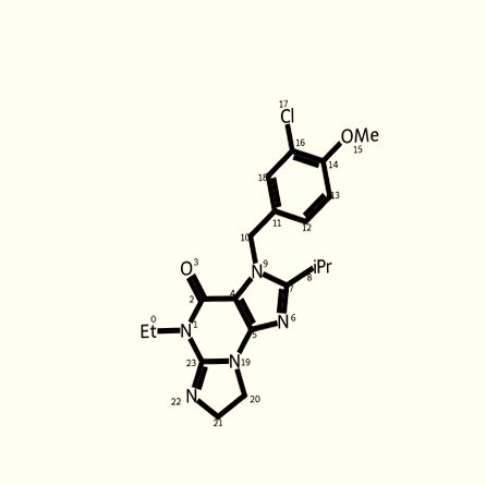 CCN1C(=O)c2c(nc(C(C)C)n2Cc2ccc(OC)c(Cl)c2)N2CCN=C12